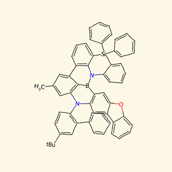 Cc1cc2c3c(c1)N(c1ccc(C(C)(C)C)cc1-c1ccccc1)c1cc4c(cc1B3N1c3ccccc3[Si](c3ccccc3)(c3ccccc3)c3cccc-2c31)oc1ccccc14